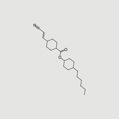 CCCCCCC1CCC(OC(=O)C2CCC(/C=C/C#N)CC2)CC1